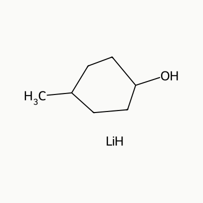 CC1CCC(O)CC1.[LiH]